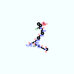 CC(C)C(NCCNC(=O)CCCN1C(=O)C=CC1=O)C(=O)N[C@@H](CCCNC(N)=O)C(=O)Nc1ccc(C(=O)Nc2ccc3[nH]c(C(=O)N4C[C@@H](CCl)c5c4cc(OP(=O)(O)O)c4ccccc54)cc3c2)cc1